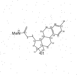 C=C(CCC1CC(C)(CC)C2(C)CCC3c4ccc(C)cc4CCC3C12)NC